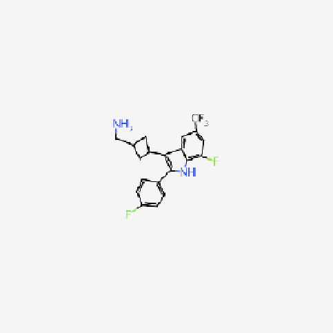 NCC1CC(c2c(-c3ccc(F)cc3)[nH]c3c(F)cc(C(F)(F)F)cc23)C1